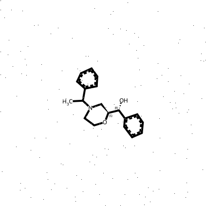 CC(c1ccccc1)N1CCO[C@H]([C@H](O)c2ccccc2)C1